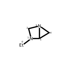 CCN1CN2CC12